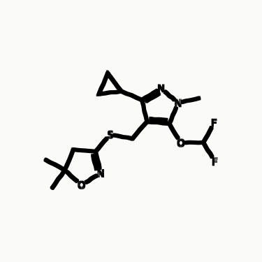 Cn1nc(C2CC2)c(CSC2=NOC(C)(C)C2)c1OC(F)F